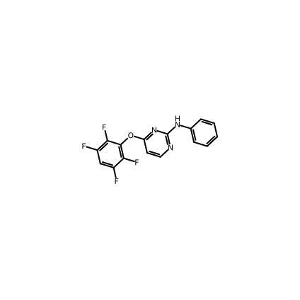 Fc1cc(F)c(F)c(Oc2ccnc(Nc3ccccc3)n2)c1F